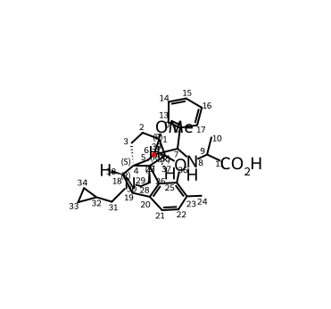 CO[C@]12CC[C@@]3(C[C@@H]1C(NC(C)C(=O)O)c1ccccc1)[C@H]1Cc4ccc(C)c5c4[C@@]3(CCN1CC1CC1)[C@H]2O5